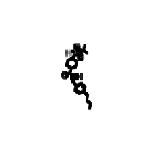 CCCCc1ccc(CNC(=O)C2CCC(NS(=O)(=O)C(C)C)CC2)cc1